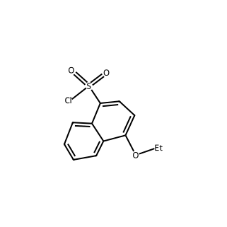 CCOc1ccc(S(=O)(=O)Cl)c2ccccc12